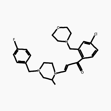 CC1CN(Cc2ccc(F)cc2)CCN1/C=C/C(=O)c1ccc(Cl)cc1CN1CCOCC1